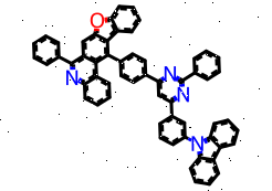 c1ccc(-c2nc(-c3ccc(-c4c5c(cc6c(-c7ccccc7)nc7ccccc7c46)oc4ccccc45)cc3)cc(-c3cccc(-n4c5ccccc5c5ccccc54)c3)n2)cc1